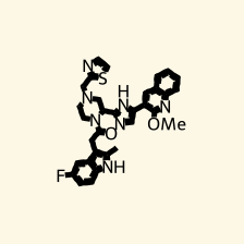 COc1nc2ccccc2cc1-c1cnc(C2CN(Cc3nccs3)CCN2C(=O)Cc2c(C)[nH]c3ccc(F)cc23)[nH]1